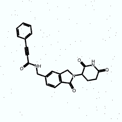 O=C(C#Cc1ccccc1)NCc1ccc2c(c1)CN(C1CCC(=O)NC1=O)C2=O